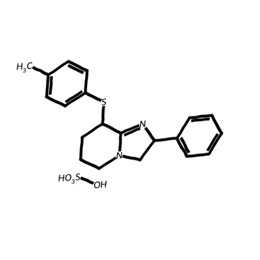 Cc1ccc(SC2CCCN3CC(c4ccccc4)N=C23)cc1.O=S(=O)(O)O